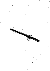 CCCCCCCC/C=C/CCCCCCCC(=O)OCCCCCCC(C)C